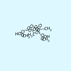 CCCCC(OC(=O)/C=C/c1ccc(O)c(OC)c1)c1ccccc1C(=O)OC(=O)c1ccccc1C(CCCC)OC(=O)/C=C/c1ccc(O)c(OC)c1